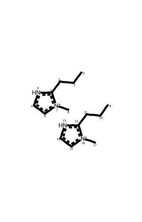 CCCc1[nH]cc[n+]1C.CCCc1[nH]cc[n+]1C